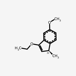 CCOC1=C[C@H](C)c2ccc(OC)cc21